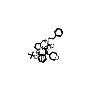 CC(C)(C)OC(=O)N[C@H](C(=O)N1CCC[C@H]1CN(CCc1ccccc1)C(=O)OCc1ccccc1)C1CCOCC1